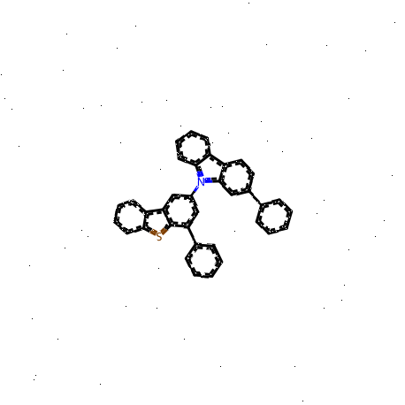 c1ccc(-c2ccc3c4ccccc4n(-c4cc(-c5ccccc5)c5sc6ccccc6c5c4)c3c2)cc1